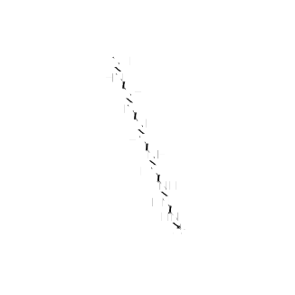 CNCCNCCNCCNCCNCCNCCNCCNCCNCCNCCNCC(=O)O